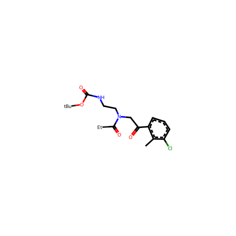 CCC(=O)N(CCNC(=O)OC(C)(C)C)CC(=O)c1cccc(Cl)c1C